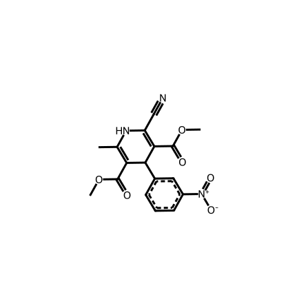 COC(=O)C1=C(C)NC(C#N)=C(C(=O)OC)C1c1cccc([N+](=O)[O-])c1